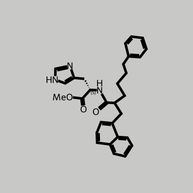 COC(=O)[C@H](Cc1c[nH]cn1)NC(=O)C(CCCCc1ccccc1)Cc1cccc2ccccc12